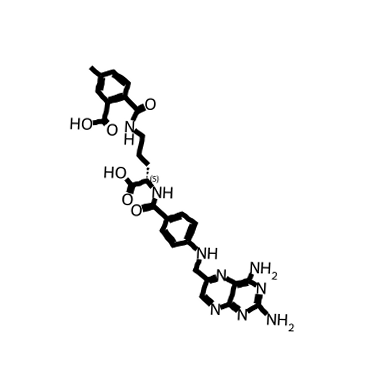 Cc1ccc(C(=O)NCCC[C@H](NC(=O)c2ccc(NCc3cnc4nc(N)nc(N)c4n3)cc2)C(=O)O)c(C(=O)O)c1